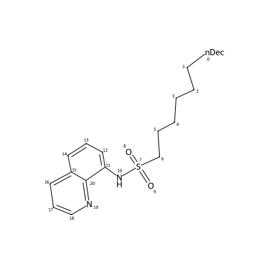 CCCCCCCCCCCCCCCCS(=O)(=O)Nc1cccc2cccnc12